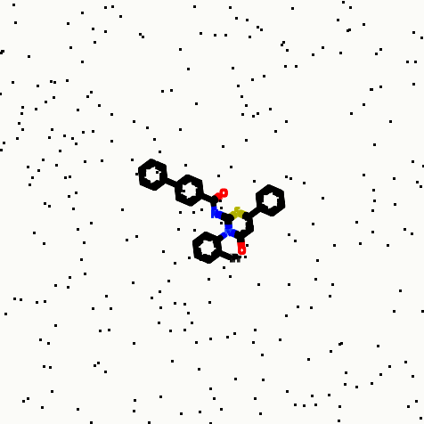 CC(C)c1ccccc1-n1c(=O)cc(-c2ccccc2)s/c1=N\C(=O)c1ccc(-c2ccccc2)cc1